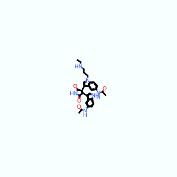 CCNCCCn1cc(C2=C(c3c[nH]c4ccc(NC(C)=O)cc34)C(=O)NC2=O)c2cc(NC(C)=O)ccc21